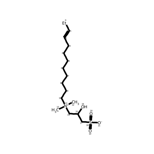 CC/C=C/CCCCCCCC[N+](C)(C)CC(O)CS(=O)(=O)[O-]